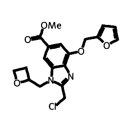 COC(=O)c1cc(OCc2ccco2)c2nc(CCl)n(CC3CCO3)c2c1